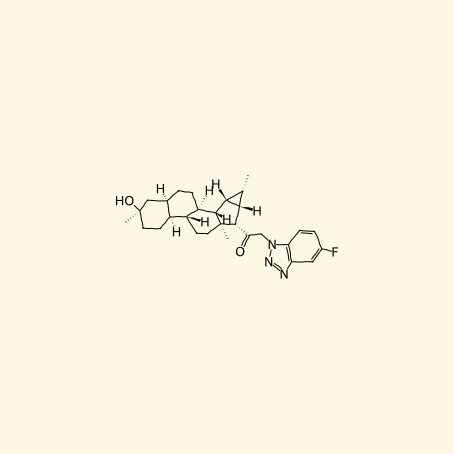 C[C@H]1[C@@H]2[C@H]1[C@H](C(=O)Cn1nnc3cc(F)ccc31)[C@@]1(C)CC[C@H]3[C@@H](CC[C@@H]4C[C@](C)(O)CC[C@@H]43)[C@H]21